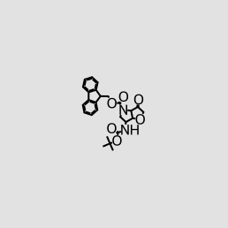 CC(C)(C)OC(=O)NC1CN(C(=O)OCC2c3ccccc3-c3ccccc32)C2C(=O)COC12